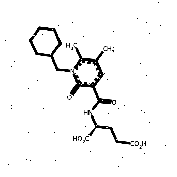 Cc1cc(C(=O)N[C@@H](CCC(=O)O)C(=O)O)c(=O)n(CC2CCCCC2)c1C